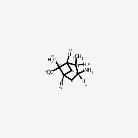 C[C@@H]1[C@H](N)C[C@H]2C[C@@H]1C2(C)C